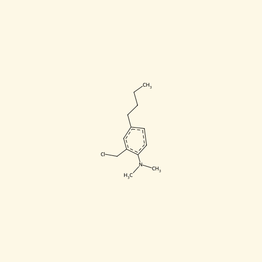 CCCCc1ccc(N(C)C)c(CCl)c1